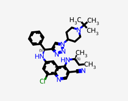 CC[C@H](C)Nc1c(C#N)cnc2c(Cl)cc(N[C@@H](c3ccccc3)c3cn(C4CCN(C(C)(C)C)CC4)nn3)cc12